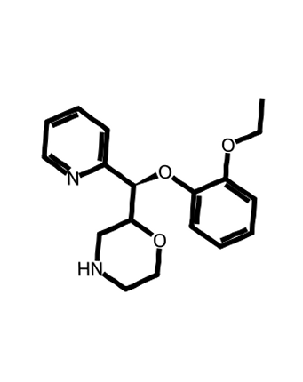 CCOc1ccccc1O[C@H](c1ccccn1)C1CNCCO1